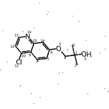 CC(C)(O)COc1ccc2c(Cl)ccnc2c1